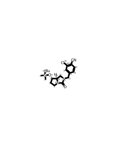 CC(C)(C)[Si](C)(C)O[C@H]1CCN2C(=O)N(Cc3ccc(C#N)c(Cl)c3)C[C@H]12